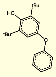 CC(C)(C)c1cc(Oc2cc[c]cc2)cc(C(C)(C)C)c1O